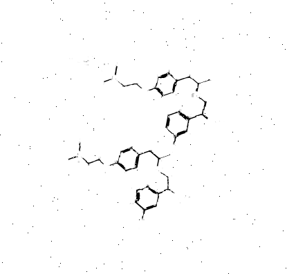 COC(CNC(C)Cc1ccc(OCCN(C)C)cc1)c1cccc(Cl)c1.COC(CNC(C)Cc1ccc(OCCN(C)C)cc1)c1cccc(Cl)c1.Cl.Cl.Cl.Cl.O